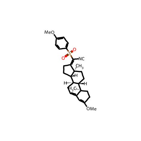 [C-]#[N+]C(=C1CC[C@H]2[C@@H]3CC=C4C=C(OC)CC[C@]4(C)[C@H]3CC[C@]12C)S(=O)(=O)c1ccc(OC)cc1